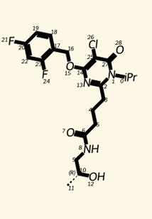 CC(C)n1c(CCCC(=O)NC[C@@H](C)O)nc(OCc2ccc(F)cc2F)c(Cl)c1=O